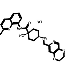 Cc1ccc2cccc(NC(=O)[C@]3(O)CC[C@@H](NCc4cc5c(cn4)OCCO5)CC3)c2n1.Cl